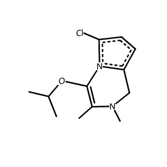 CC1=C(OC(C)C)n2c(Cl)ccc2CN1C